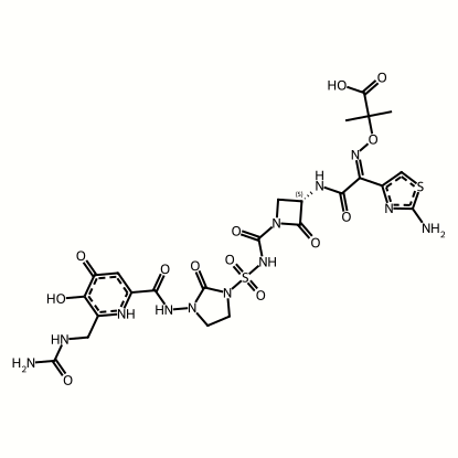 CC(C)(ON=C(C(=O)N[C@H]1CN(C(=O)NS(=O)(=O)N2CCN(NC(=O)c3cc(=O)c(O)c(CNC(N)=O)[nH]3)C2=O)C1=O)c1csc(N)n1)C(=O)O